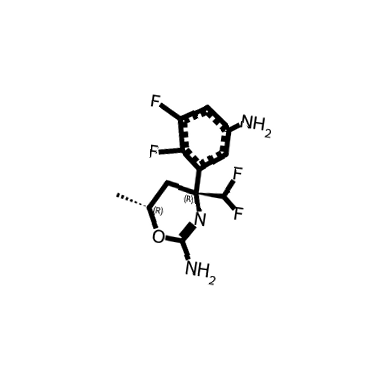 C[C@@H]1C[C@@](c2cc(N)cc(F)c2F)(C(F)F)N=C(N)O1